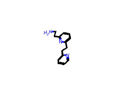 NCCc1cccc(CCc2ccccn2)n1